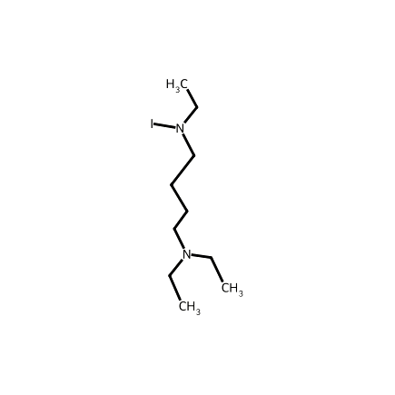 CCN(I)CCCCN(CC)CC